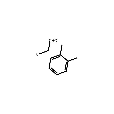 Cc1ccccc1C.O=CCCl